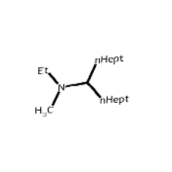 CCCCCCCC(CCCCCCC)N(C)CC